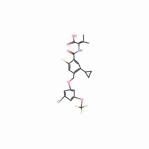 CC(C)=C(NC(=O)c1cc(C2CC2)c(COc2cc(Cl)cc(OC(F)(F)F)c2)cc1F)C(=O)O